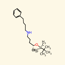 C[C@H](CCCNCCCCc1ccccc1)O[Si](C)(C)C(C)(C)C